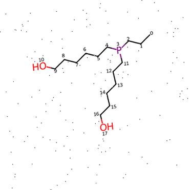 CCCP(CCCCCCO)CCCCCCO